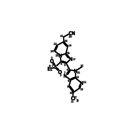 CCS(=O)(=O)c1c(-c2nc3cc(C(F)(F)F)cnc3n2C)nc2cc(CC#N)ccn12